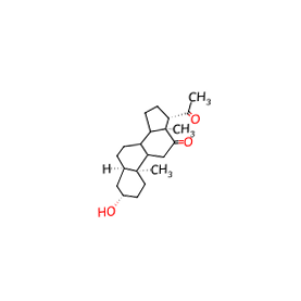 CC(=O)[C@H]1CCC2C3CC[C@@H]4C[C@@H](O)CC[C@]4(C)C3CC(=O)[C@@]21C